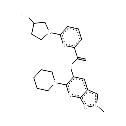 Cn1cc2cc(NC(=O)c3cccc(N4CCC(O)C4)n3)c(N3CCCCC3)nc2n1